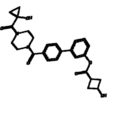 O=C(Oc1cccc(-c2ccc(C(=O)N3CCN(C(=O)C4(O)CC4)CC3)cc2)c1)C1CC(O)C1